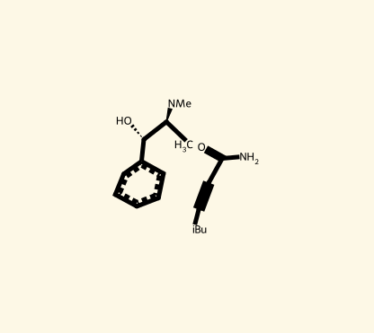 CCC(C)C#CC(N)=O.CN[C@@H](C)[C@@H](O)c1ccccc1